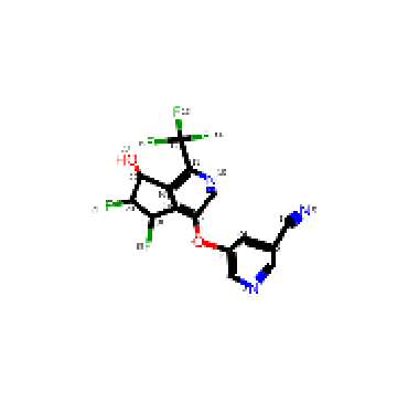 N#Cc1cncc(Oc2cnc(C(F)(F)F)c3c2C(F)C(F)C3O)c1